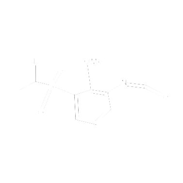 COc1c(N=C=O)cccc1S(=O)(=O)C(F)F